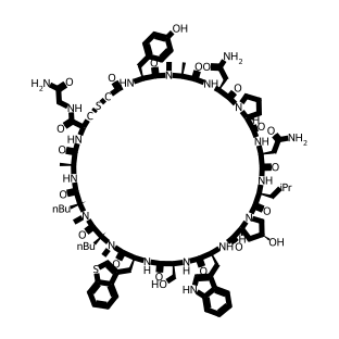 CCCC[C@H]1C(=O)N(C)[C@@H](CCCC)C(=O)N[C@@H](C)C(=O)NC(C(=O)NCC(N)=O)CSCC(=O)N[C@@H](Cc2ccc(O)cc2)C(=O)N(C)[C@@H](C)C(=O)N[C@@H](CC(N)=O)C(=O)N2CCC[C@H]2C(=O)N[C@@H](CC(N)=O)C(=O)N[C@@H](CC(C)C)C(=O)N2C[C@H](O)C[C@H]2C(=O)N[C@@H](Cc2c[nH]c3ccccc23)C(=O)N[C@@H](CO)C(=O)N[C@@H](Cc2csc3ccccc23)C(=O)N1C